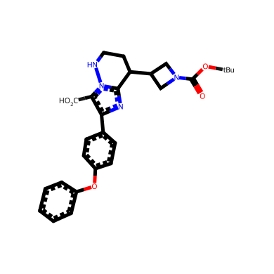 CC(C)(C)OC(=O)N1CC(C2CCNn3c2nc(-c2ccc(Oc4ccccc4)cc2)c3C(=O)O)C1